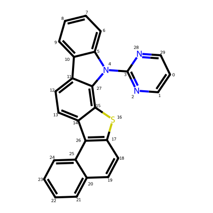 c1cnc(-n2c3ccccc3c3ccc4c(sc5ccc6ccccc6c54)c32)nc1